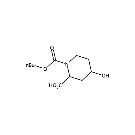 CCCCOC(=O)N1CCC(O)CC1C(=O)O